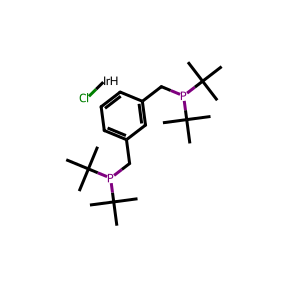 CC(C)(C)P(Cc1cccc(CP(C(C)(C)C)C(C)(C)C)c1)C(C)(C)C.[Cl][IrH]